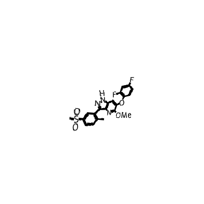 COc1nc2c(-c3cc(S(C)(=O)=O)ccc3C)n[nH]c2cc1Oc1ccc(F)cc1F